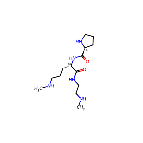 CNCCC[C@H](NC(=O)[C@@H]1CCCN1)C(=O)NCCNC